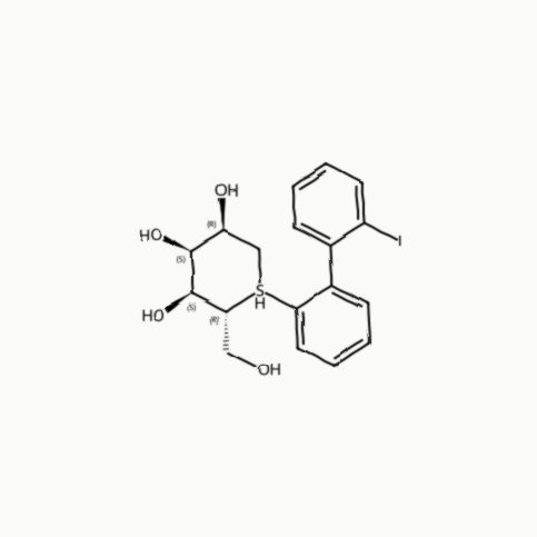 OC[C@@H]1[C@@H](O)[C@@H](O)[C@@H](O)C[SH]1c1ccccc1-c1ccccc1I